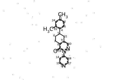 Cc1ccc(C2CCc3c(cnn(-c4ccncc4)c3=O)C2)c(C)c1